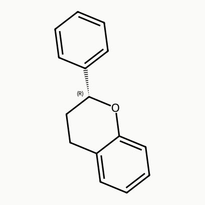 c1ccc([C@H]2CCc3ccccc3O2)cc1